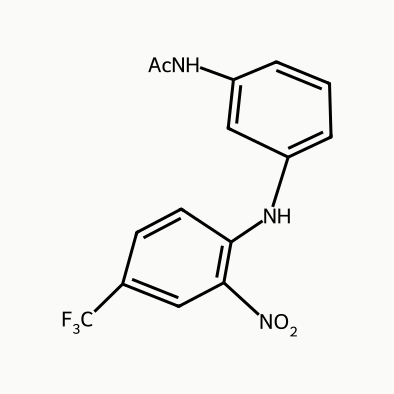 CC(=O)Nc1cccc(Nc2ccc(C(F)(F)F)cc2[N+](=O)[O-])c1